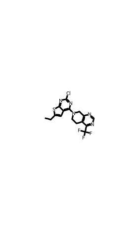 CCc1cc2c(N3CCc4c(ncnc4C(F)(F)F)C3)nc(Cl)nc2s1